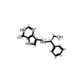 O=c1[nH]cnc2c(CN[C@@H](CO)c3ccccc3)c[nH]c12